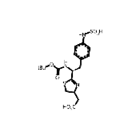 CC(C)(C)OC(=O)N[C@@H](Cc1ccc(NS(=O)(=O)O)cc1)C1=NC(CC(=O)O)CS1